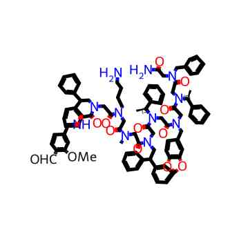 COc1cc(CNCC(=O)N(CC(=O)N(CCCCN)CC(=O)N(C)CC(=O)N(CC(=O)N(CC(=O)N(CC(=O)N(CC(=O)N(CC(N)=O)Cc2ccccc2)[C@@H](C)c2ccccc2)Cc2ccc3c(c2)OCO3)[C@@H](C)c2ccccc2)CC(c2ccccc2)c2ccccc2)CC(c2ccccc2)c2ccccc2)ccc1C=O